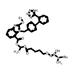 CCOc1nc2cccc(C(=O)OC(C)OC(=O)CCCCO/N=[N+](\O)N(C)C(C)(C)C)c2n1Cc1ccc(-c2ccccc2-c2nnn[nH]2)cc1